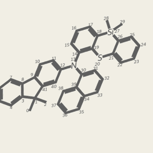 CC1(C)c2ccccc2-c2ccc(N(c3cccc4c3Sc3ccccc3[Si]4(C)C)c3cccc4ccccc34)cc21